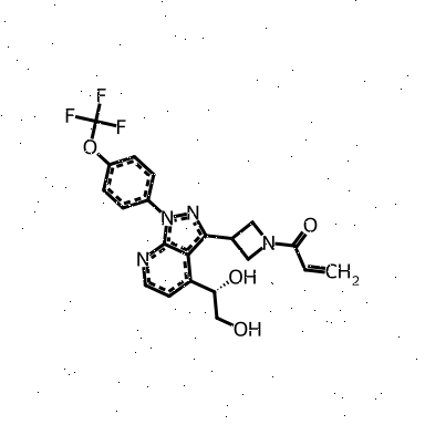 C=CC(=O)N1CC(c2nn(-c3ccc(OC(F)(F)F)cc3)c3nccc([C@H](O)CO)c23)C1